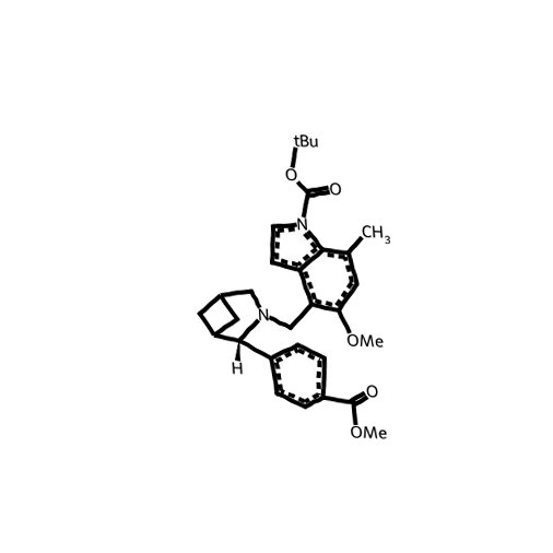 COC(=O)c1ccc([C@@H]2C3CC(C3)CN2Cc2c(OC)cc(C)c3c2ccn3C(=O)OC(C)(C)C)cc1